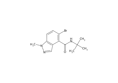 Cn1ncc2c(C(=O)NC(C)(C)C)c(Br)ccc21